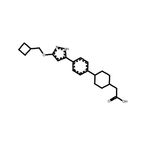 O=C(O)CC1CCC(c2ccc(-c3cc(OCC4CCC4)n[nH]3)cc2)CC1